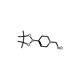 CC1(C)OB(C2=CCB(CN=O)CC2)OC1(C)C